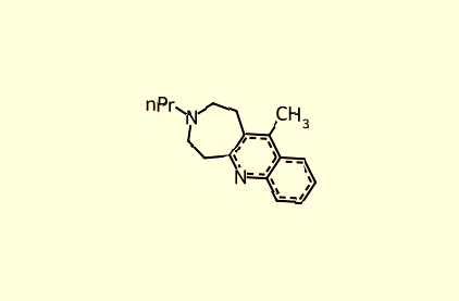 CCCN1CCc2nc3ccccc3c(C)c2CC1